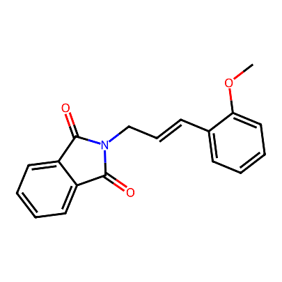 COc1ccccc1C=CCN1C(=O)c2ccccc2C1=O